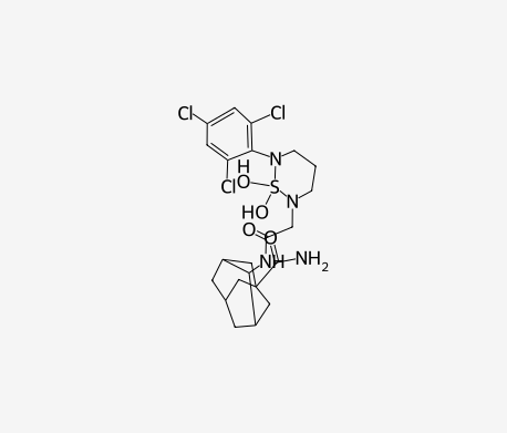 NC(=O)C12CC3CC(C1)C(NC(=O)CN1CCCN(c4c(Cl)cc(Cl)cc4Cl)S1(O)O)C(C3)C2